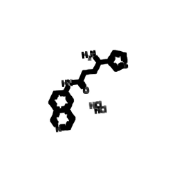 Cl.Cl.NC(CCC(=O)Nc1ccc2cnccc2c1)c1ccsc1